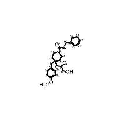 COc1ccc(CC2(CC(=O)CO)CCN(C(=O)OCc3ccccc3)CC2)cc1